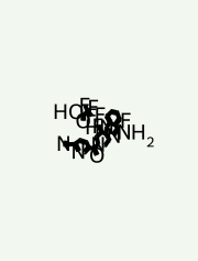 N#Cc1ccc(C(=O)N2CCC3(N=C(N)c4c(F)ccc(F)c4N3)C(F)C2)cn1.O=C(O)C(F)(F)F